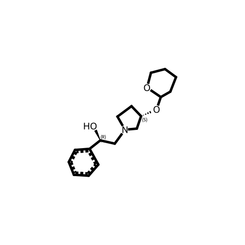 O[C@@H](CN1CC[C@H](OC2CCCCO2)C1)c1ccccc1